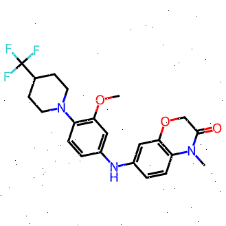 COc1cc(Nc2ccc3c(c2)OCC(=O)N3C)ccc1N1CCC(C(F)(F)F)CC1